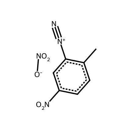 Cc1ccc([N+](=O)[O-])cc1[N+]#N.O=[N+]([O-])[O-]